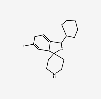 FC1=CC2C(=CC1)C(C1CCCCC1)OC21CCNCC1